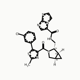 Cc1nc(C(=O)N2C[C@@H]3C[C@@H]3[C@H]2CNC(=O)c2cnc3sccn23)c(-c2cccc(Cl)c2)s1